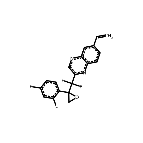 C=Cc1ccc2nc(C(F)(F)C3(c4ccc(F)cc4F)CO3)cnc2c1